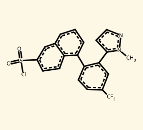 Cn1nccc1-c1cc(C(F)(F)F)ccc1-c1cccc2cc(S(=O)(=O)Cl)ccc12